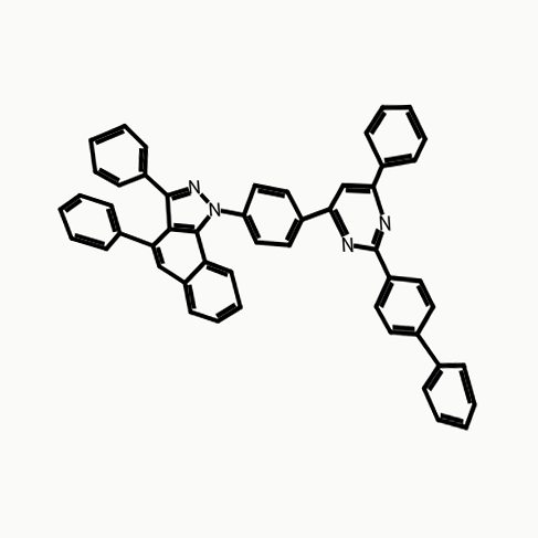 c1ccc(-c2ccc(-c3nc(-c4ccccc4)cc(-c4ccc(-n5nc(-c6ccccc6)c6c(-c7ccccc7)cc7ccccc7c65)cc4)n3)cc2)cc1